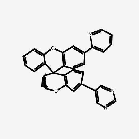 c1ccc(-c2ccc3c(c2)Oc2ccccc2C32c3ccccc3Oc3cc(-c4cncnc4)ccc32)nc1